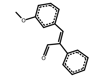 COc1cccc(C=C(C=O)c2ccccc2)c1